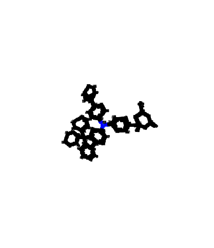 C=C1CC(CC)CC(C)(c2ccc(N(c3ccc(C4CC5CCC4C5)cc3)c3ccc4c(c3)C(C3CCCCC3)(C3CCCCC3)c3ccccc3-4)cc2)C1